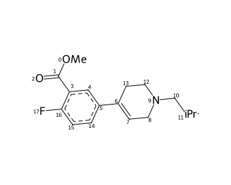 COC(=O)c1cc(C2=CCN(C[C](C)C)CC2)ccc1F